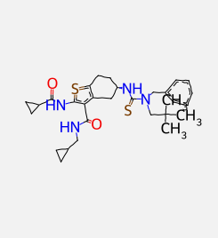 CC(C)(C)CN(Cc1ccccc1)C(=S)N[C@@H]1CCc2sc(NC(=O)C3CC3)c(C(=O)NCC3CC3)c2C1